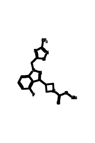 CC(C)(C)OC(=O)N1CC(c2nn(Cc3nc(C(F)(F)F)no3)c3cccc(F)c23)C1